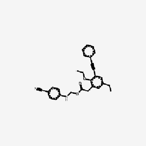 [CH2]COc1c(C#Cc2ccccc2)cc(CC)cc1CC(=O)OCNc1ccc(C#N)cc1